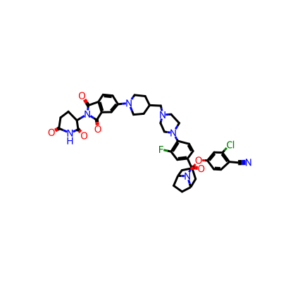 N#Cc1ccc(OC2CC3CCC(C2)N3C(=O)c2ccc(N3CCN(CC4CCN(c5ccc6c(c5)C(=O)N(C5CCC(=O)NC5=O)C6=O)CC4)CC3)c(F)c2)cc1Cl